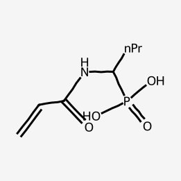 C=CC(=O)NC(CCC)P(=O)(O)O